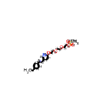 CCc1ccc(/C=C/c2ccc(OCCOCCOCCOS(C)(=O)=O)nc2)cc1